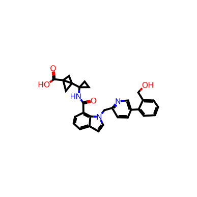 O=C(NC1(C23CC2(C(=O)O)C3)CC1)c1cccc2ccn(Cc3ccc(-c4ccccc4CO)cn3)c12